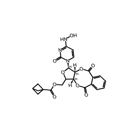 O=C1O[C@@H]2[C@H](OC(=O)c3ccccc31)C(COC(=O)C13CC(C1)C3)O[C@H]2n1ccc(NO)nc1=O